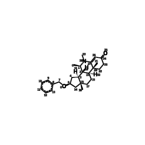 C[C@@H]1[C@H]2[C@@H]3C[C@H](OCc4ccccc4)C[C@@]3(C)CC[C@@H]2[C@@]2(C)CCC(=O)C=C2N1C